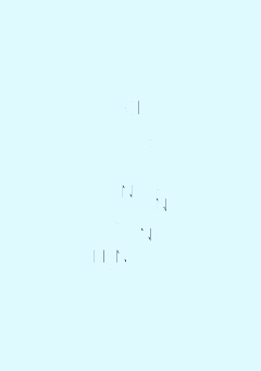 Nc1nc2ncc(-c3ccc(Cl)cc3)nc2s1